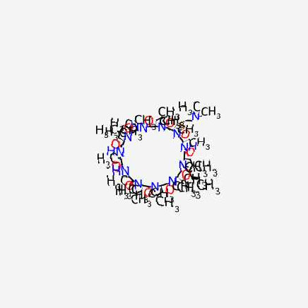 C/C=C/C[C@@H](C)C[C@@H]1C(=O)N[C@@H](CC)C(=O)N(C)[C@@H](CSCCN(CC)CC)C(=O)N(C)[C@@H](CC(C)C)C(=O)N[C@H](C(C)C)C(=O)N(C)[C@H](CC(C)C)C(=O)N[C@H](C)C(=O)N[C@@H](C)C(=O)N(C)[C@@H](CC(C)C)C(=O)N(C)[C@H](CC(C)C)C(=O)N(C)[C@@H](C(C)C)C(=O)N1C